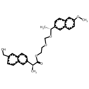 COc1ccc2cc([C@@H](C)OCOCCOC(=O)[C@@H](C)c3ccc4cc(CO)ccc4c3)ccc2c1